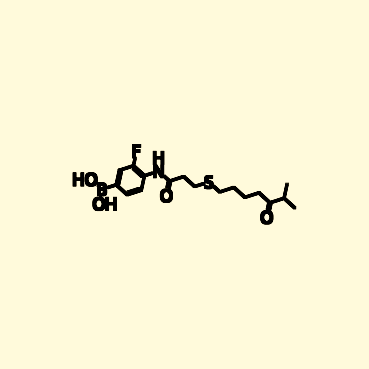 CC(C)C(=O)CCCCSCCC(=O)Nc1ccc(B(O)O)cc1F